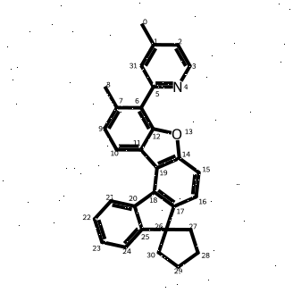 Cc1ccnc(-c2c(C)ccc3c2oc2ccc4c(c23)-c2ccccc2C42CCCC2)c1